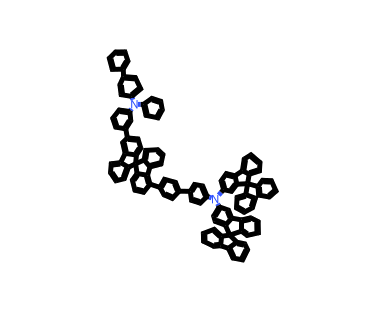 c1ccc(-c2ccc(N(c3ccccc3)c3cccc(-c4ccc5c(c4)-c4ccccc4C54c5ccccc5-c5c(-c6ccc(-c7ccc(N(c8ccc9c(c8)-c8ccccc8C98c9ccccc9-c9ccccc98)c8ccc9c(c8)C(c8ccccc8)(c8ccccc8)c8ccccc8-9)cc7)cc6)cccc54)c3)cc2)cc1